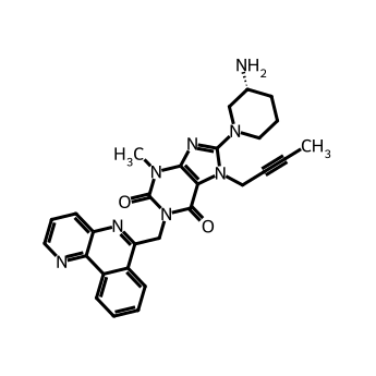 CC#CCn1c(N2CCC[C@@H](N)C2)nc2c1c(=O)n(Cc1nc3cccnc3c3ccccc13)c(=O)n2C